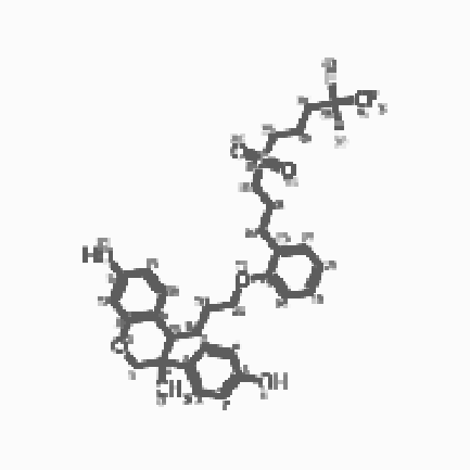 CC1(c2ccc(O)cc2)COc2cc(O)ccc2C1CCCOc1ccccc1CCCS(=O)(=O)CCCC(F)(F)C(F)(F)F